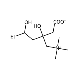 CCC(O)CC(O)(CC(=O)[O-])C[N+](C)(C)C